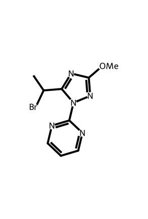 COc1nc(C(C)Br)n(-c2ncccn2)n1